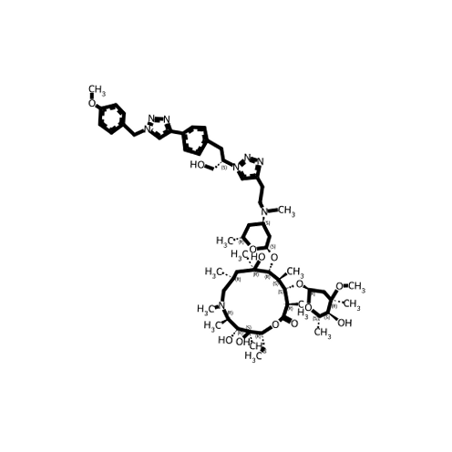 CC[C@H]1OC(=O)[C@H](C)[C@@H](O[C@H]2C[C@@](C)(OC)[C@@H](O)[C@H](C)O2)[C@H](C)[C@@H](O[C@H]2C[C@@H](N(C)CCc3cn([C@H](CO)Cc4ccc(-c5cn(Cc6ccc(OC)cc6)nn5)cc4)nn3)C[C@@H](C)O2)[C@](C)(O)C[C@@H](C)CN(C)[C@H](C)[C@@H](O)[C@]1(C)O